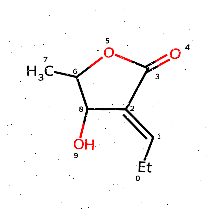 CC/C=C1/C(=O)OC(C)C1O